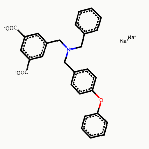 O=C([O-])c1cc(CN(Cc2ccccc2)Cc2ccc(Oc3ccccc3)cc2)cc(C(=O)[O-])c1.[Na+].[Na+]